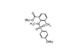 COc1ccc(S(=O)(=O)N(C)c2c(C)cccc2C(=O)OC(C)(C)C)cc1